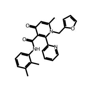 Cc1cccc(NC(=O)c2c(-c3ccccn3)n(Cc3ccco3)c(C)cc2=O)c1C